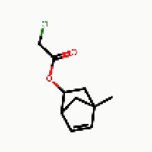 CC12C=CC(C1)C(OC(=O)CCl)C2